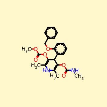 CNC(=O)OC1=C(C)NC(C)=C(OC(=O)OC)C1c1ccccc1OCc1ccccc1